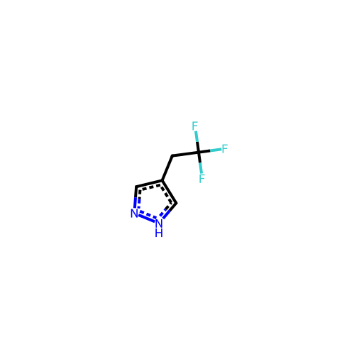 FC(F)(F)Cc1cn[nH]c1